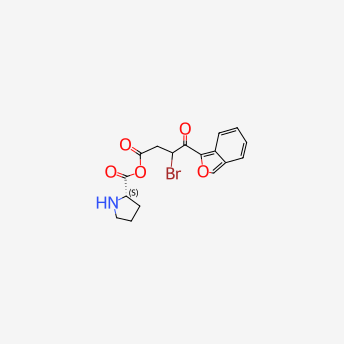 O=C(CC(Br)C(=O)c1occ2ccccc12)OC(=O)[C@@H]1CCCN1